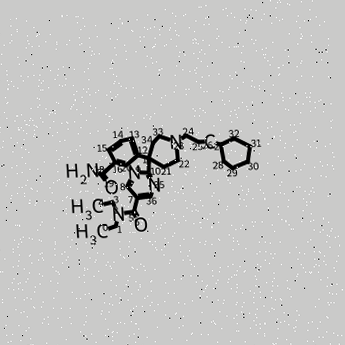 CCN(CC)C(=O)c1cnc(C2(c3cccc(C(N)=O)c3)CCN(CCCC3CCCCC3)CC2)nc1